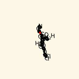 O=C(O)C(Cc1ccc(Oc2ccncc2)cc1)NC(=O)C1Cc2cc3c(cc2CN1C(=O)c1ccccc1)OC(c1ccc(OCc2ccc(Cl)c(Cl)c2)cc1)C(=O)N3